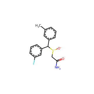 Cc1cccc(C(c2cccc(F)c2)[S+]([O-])CC(N)=O)c1